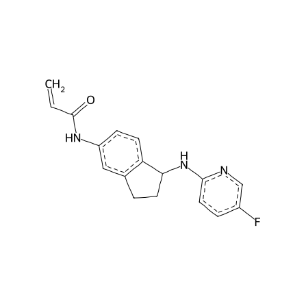 C=CC(=O)Nc1ccc2c(c1)CCC2Nc1ccc(F)cn1